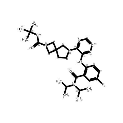 CC(C)N(C(=O)c1cc(F)ccc1Oc1nncnc1N1CCC2(CN(C(=O)OC(C)(C)C)C2)C1)C(C)C